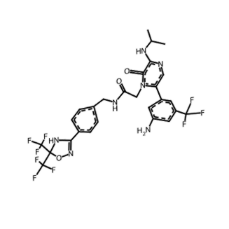 CC(C)Nc1ncc(-c2cc(N)cc(C(F)(F)F)c2)n(CC(=O)NCc2ccc(C3=NOC(C(F)(F)F)(C(F)(F)F)N3)cc2)c1=O